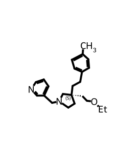 CCOCC[C@]1(CCc2ccc(C)cc2)CCN(Cc2cccnc2)C1